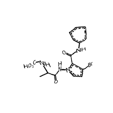 CC(NC(=O)O)C(=O)Nn1ccc(Br)c1C(=O)Nc1ccccc1